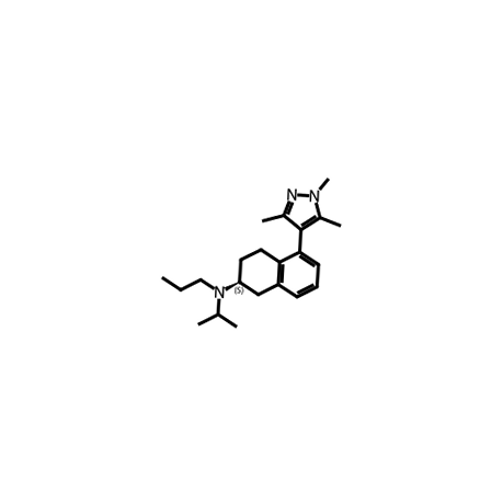 CCCN(C(C)C)[C@H]1CCc2c(cccc2-c2c(C)nn(C)c2C)C1